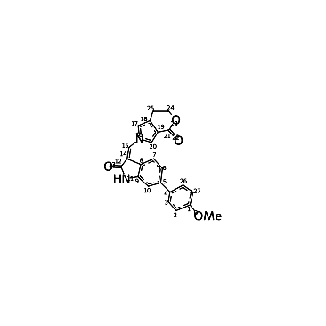 COc1ccc(-c2ccc3c(c2)NC(=O)C3=Cn2cc3c(c2)C(=O)OCC3)cc1